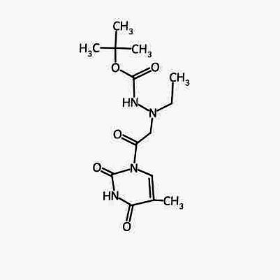 CCN(CC(=O)n1cc(C)c(=O)[nH]c1=O)NC(=O)OC(C)(C)C